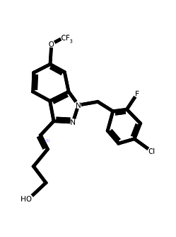 OCC/C=C/c1nn(Cc2ccc(Cl)cc2F)c2cc(OC(F)(F)F)ccc12